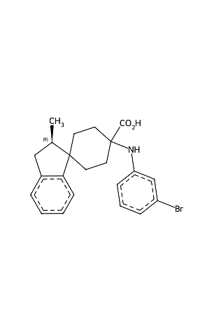 C[C@@H]1Cc2ccccc2C12CCC(Nc1cccc(Br)c1)(C(=O)O)CC2